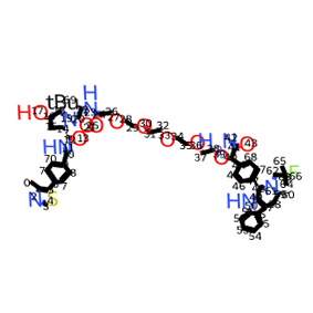 Cc1ncsc1-c1ccc(CNC(=O)[C@@H]2C[C@@H](O)CN2C(=O)[C@@H](NC(=O)COCCOCCOCCOCCOC(C(N)=O)c2ccc([C@@H]3c4[nH]c5ccccc5c4C[C@@H](C)N3CC(C)(C)F)cc2)C(C)(C)C)cc1